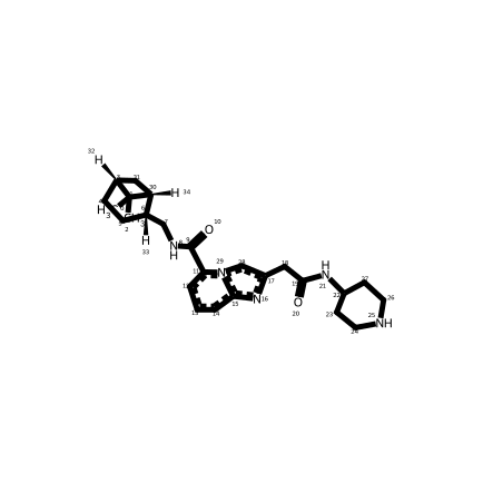 CC1(C)[C@@H]2CC[C@@H](CNC(=O)c3cccc4nc(CC(=O)NC5CCNCC5)cn34)[C@H]1C2